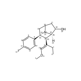 CCC(=NOC)[C@H]1[C@@H](c2ccc(I)cc2)CC2CC(O)[C@@H]1N2C